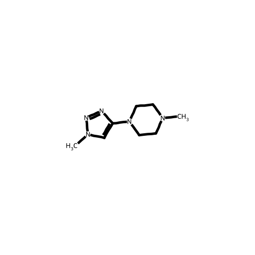 CN1CCN(c2cn(C)nn2)CC1